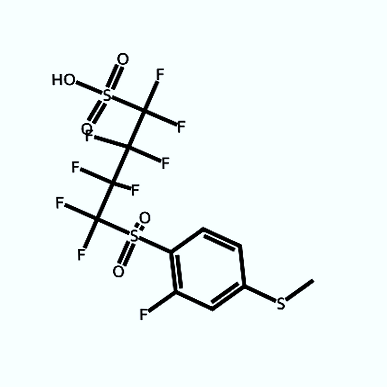 CSc1ccc(S(=O)(=O)C(F)(F)C(F)(F)C(F)(F)C(F)(F)S(=O)(=O)O)c(F)c1